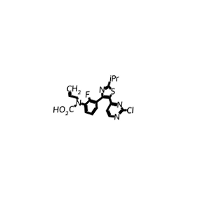 C=CCN(C(=O)O)c1cccc(-c2nc(C(C)C)sc2-c2ccnc(Cl)n2)c1F